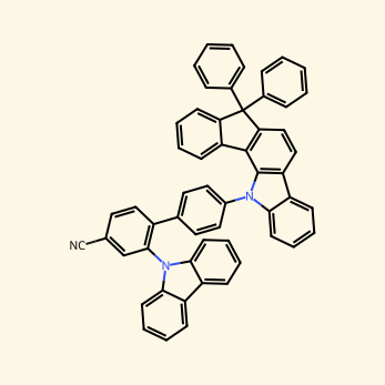 N#Cc1ccc(-c2ccc(-n3c4ccccc4c4ccc5c(c43)-c3ccccc3C5(c3ccccc3)c3ccccc3)cc2)c(-n2c3ccccc3c3ccccc32)c1